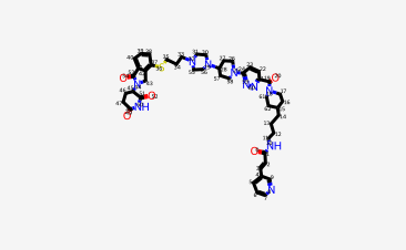 O=C(/C=C/c1cccnc1)NCCCCC1CCN(C(=O)c2ccc(N3CCC(N4CCN(CCCSc5cccc6c5CN(C5CCC(=O)NC5=O)C6=O)CC4)CC3)nn2)CC1